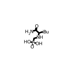 CCC(C)C(NCP(=O)(O)O)C(N)=O